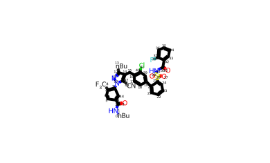 CCCCNC(=O)c1ccc(C(F)(F)F)c(-n2nc(CCCC)c(Cc3ccc(-c4ccccc4S(=O)(=O)NC(=O)c4ccccc4F)cc3Cl)c2C#N)c1